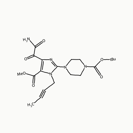 CC#CCn1c(N2CCN(C(=O)OC(C)(C)C)CC2)nc(C(=O)C(N)=O)c1C(=O)OC